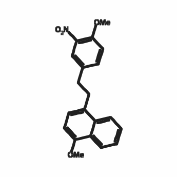 COc1ccc(CCc2ccc(OC)c3ccccc23)cc1[N+](=O)[O-]